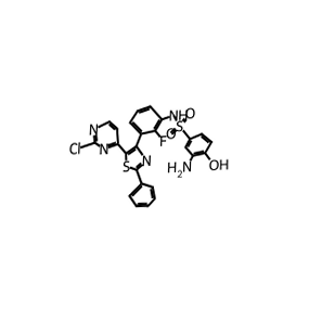 Nc1cc(S(=O)(=O)Nc2cccc(-c3nc(-c4ccccc4)sc3-c3ccnc(Cl)n3)c2F)ccc1O